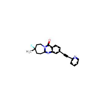 CC1(F)CCc2nc3cc(C#Cc4ccccn4)ccc3c(=O)n2CC1